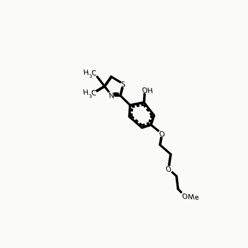 COCCOCCOc1ccc(C2=NC(C)(C)CS2)c(O)c1